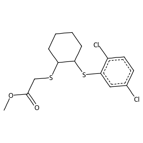 COC(=O)CSC1CCCCC1Sc1cc(Cl)ccc1Cl